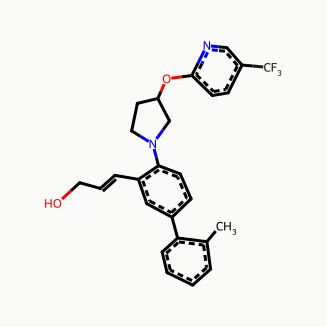 Cc1ccccc1-c1ccc(N2CCC(Oc3ccc(C(F)(F)F)cn3)C2)c(/C=C/CO)c1